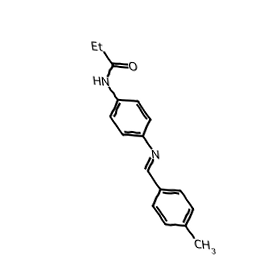 CCC(=O)Nc1ccc(/N=C/c2ccc(C)cc2)cc1